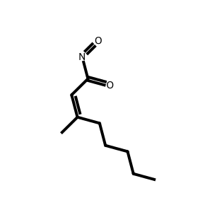 CCCCC/C(C)=C\C(=O)N=O